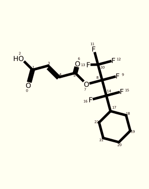 O=C(O)C=CC(=O)OC(F)(C(F)(F)F)C(F)(F)C1CCCCC1